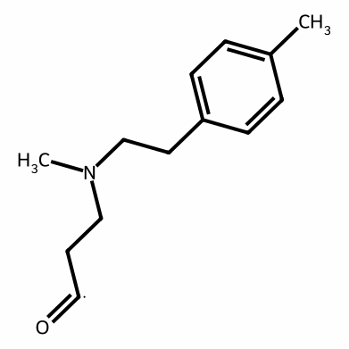 Cc1ccc(CCN(C)CC[C]=O)cc1